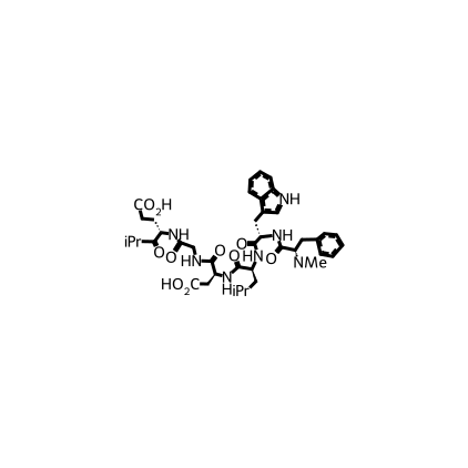 CN[C@@H](Cc1ccccc1)C(=O)N[C@@H](Cc1c[nH]c2ccccc12)C(=O)N[C@@H](CC(C)C)C(=O)N[C@@H](CC(=O)O)C(=O)NCC(=O)N[C@@H](CCC(=O)O)C(=O)C(C)C